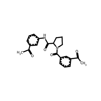 CC(=O)c1cccc(NC(=O)C2CCCN2C(=O)c2cccc(C(C)=O)c2)c1